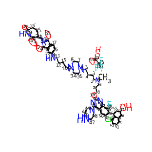 CN(CCCCN1CCN(CCCCNc2ccc3c(c2)C(=O)N(C2CCC(=O)NC2=O)C3=O)CC1)CCCOc1nc(N2CCNCC2)c2cc(Cl)c(-c3cc(O)cc4ccccc34)c(F)c2n1.O=C(O)C(F)(F)F